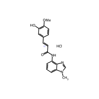 COc1ccc(/C=C/C(=O)Nc2cccc3c2ncn3C)cc1O.Cl